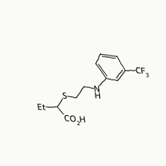 CCC(SCCNc1cccc(C(F)(F)F)c1)C(=O)O